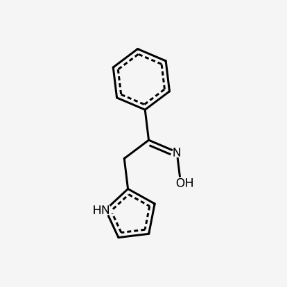 ON=C(Cc1ccc[nH]1)c1ccccc1